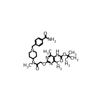 Cc1nc(OCC(=O)N(C)C2CCN(Cc3ccc(C(N)=O)cc3)CC2)nc(C)c1NC(=O)OC(C)(C)C